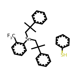 CC(C)([CH2][Sn]([CH2]C(C)(C)c1ccccc1)[c]1ccccc1C(F)(F)F)c1ccccc1.Sc1ccccc1